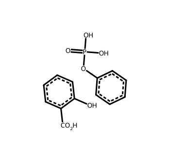 O=C(O)c1ccccc1O.O=P(O)(O)Oc1ccccc1